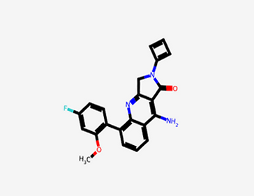 COc1cc(F)ccc1-c1cccc2c(N)c3c(nc12)CN(C1=CC=C1)C3=O